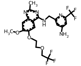 COc1cc2nc(C)nc(NCc3cc(N)cc(C(F)(F)F)n3)c2cc1OCCOCC(F)(F)F